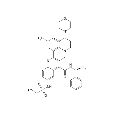 CC(C)CS(=O)(=O)Nc1ccc2nc(-c3cccc(C(F)(F)F)c3)c(CN3CCC(N4CCOCC4)CC3)c(C(=O)N[C@H](c3ccccc3)C(F)(F)F)c2c1